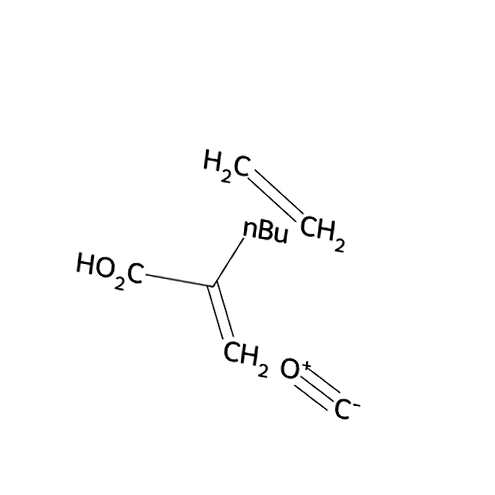 C=C.C=C(CCCC)C(=O)O.[C-]#[O+]